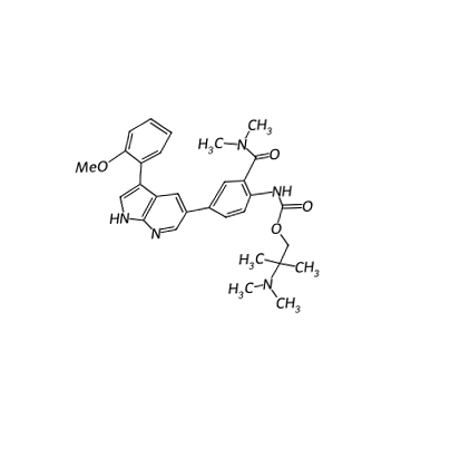 COc1ccccc1-c1c[nH]c2ncc(-c3ccc(NC(=O)OCC(C)(C)N(C)C)c(C(=O)N(C)C)c3)cc12